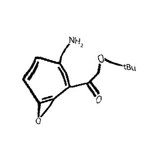 CC(C)(C)OC(=O)c1c(N)ccc2c1O2